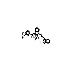 O=C(C[C@]1(O)C(=O)N(CCCc2c[nH]c3ccccc23)c2ccccc21)c1cccc(C(F)(F)F)c1